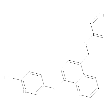 C=CC(=O)NCc1ccc(Oc2ccc(C(F)(F)F)nc2)c2ncccc12